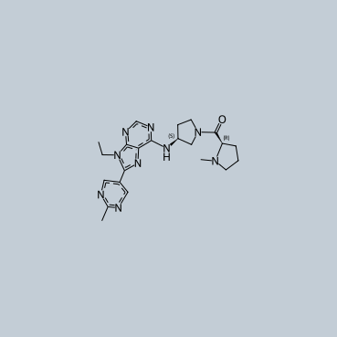 CCn1c(-c2cnc(C)nc2)nc2c(N[C@H]3CCN(C(=O)[C@H]4CCCN4C)C3)ncnc21